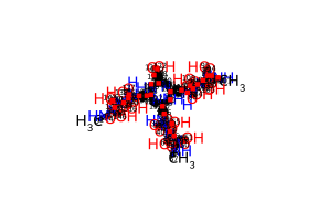 CCNC(=O)CN(CCN(CCN(CC(=O)O)C(NC(=O)c1ccc(-c2c3nc(c(-c4ccc(C(=O)NC(C(=O)O)N(CCN(CCN(CC(=O)O)CC(=O)NCC)CC(=O)O)CC(=O)O)cc4)c4ccc([nH]4)c(-c4ccc(C(=O)NC(C(=O)O)N(CCN(CCN(CC(=O)O)CC(=O)NCC)CC(=O)O)CC(=O)O)cc4)c4nc(c(-c5ccc(C(=O)O)cc5)c5ccc2[nH]5)C=C4)C=C3)cc1)C(=O)O)CC(=O)O)CC(=O)O